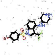 O=S(=O)(c1ccc(Br)cc1)n1cc(C(F)F)c2c(NC3CCNCC3)cccc21